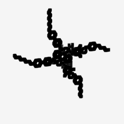 CCCCCCCCC1CCC(c2ccc(Sc3ccc(Sc4ccc(C5CCC(CCCCCCCC)CC5)cc4)c4c3C(=O)c3c(Nc5cc(C)c(OCC6CCC(CCCCC)CC6)c(C)c5)ccc(Nc5cc(C)c(OCC6CCC(CCCCC)CC6)c(C)c5)c3C4=O)cc2)CC1